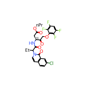 CCCOC(=O)C[C@H](NC(=O)C(CC)n1ccc2ccc(Cl)cc2c1=O)C(=O)COc1c(F)c(F)cc(F)c1F